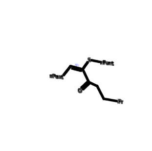 CCCCC/C=C(/SCCCCC)C(=O)CCC(C)C